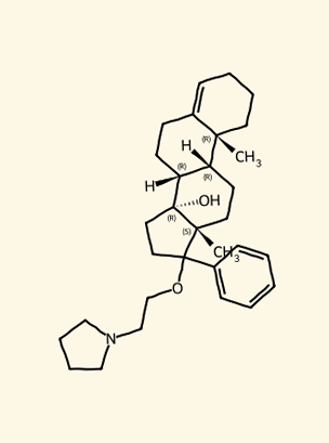 C[C@]12CCCC=C1CC[C@@H]1[C@H]2CC[C@]2(C)C(OCCN3CCCC3)(c3ccccc3)CC[C@@]12O